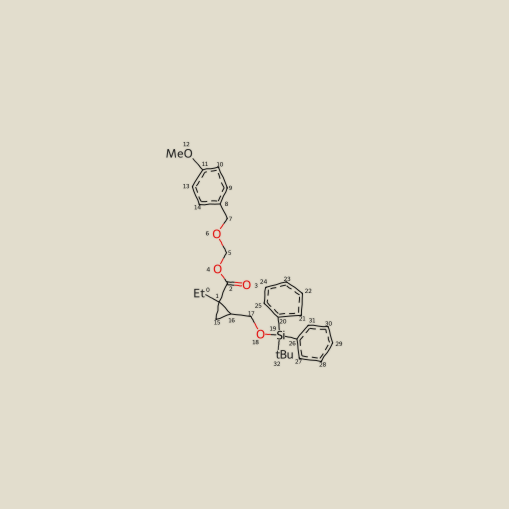 CCC1(C(=O)OCOCc2ccc(OC)cc2)CC1CO[Si](c1ccccc1)(c1ccccc1)C(C)(C)C